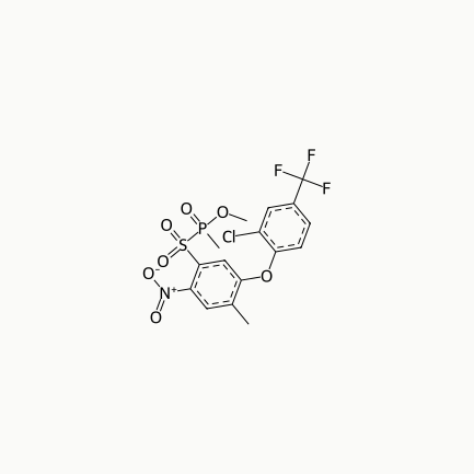 COP(C)(=O)S(=O)(=O)c1cc(Oc2ccc(C(F)(F)F)cc2Cl)c(C)cc1[N+](=O)[O-]